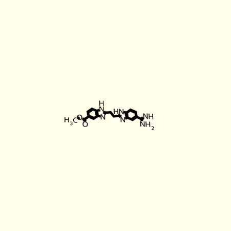 COC(=O)c1ccc2[nH]c(CCc3nc4cc(C(=N)N)ccc4[nH]3)nc2c1